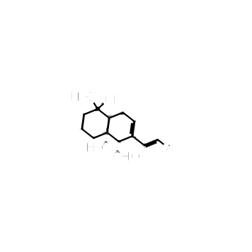 CC(=O)/C=C/C1=CCC2C(C)(C)CCC[C@]2(C)[C@H]1C=O